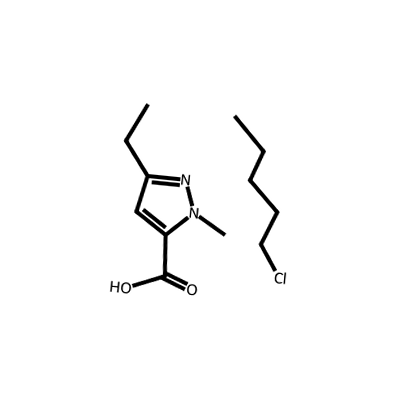 CCCCCCl.CCc1cc(C(=O)O)n(C)n1